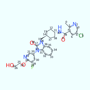 Cc1ncc(Cl)cc1C(=O)N[C@H]1CC[C@H](Cn2c(=O)n(-c3cnc(OCCO)c(F)c3)c3ccccc32)CC1